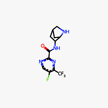 O=C(NC1CC2CNC1C2)c1ncc(F)c(C(F)(F)F)n1